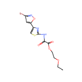 CCOCCOC(=O)C(=O)Nc1nc(-c2cc(Br)no2)cs1